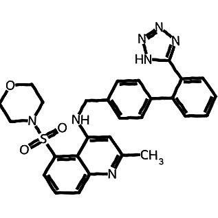 Cc1cc(NCc2ccc(-c3ccccc3-c3nnn[nH]3)cc2)c2c(S(=O)(=O)N3CCOCC3)cccc2n1